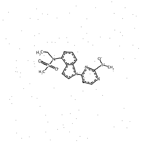 CCN(c1cccc2c1ccn2-c1ccnc([S+](C)[O-])n1)S(C)(=O)=O